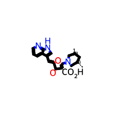 C[C@@H]1C[C@H](C)CN(C2=C(C(=O)O)C(=O)C(=Cc3c[nH]c4ncccc34)O2)C1